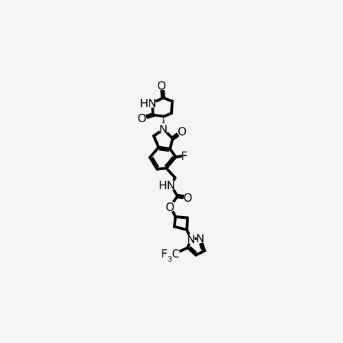 O=C1CC[C@H](N2Cc3ccc(CNC(=O)OC4CC(n5nccc5C(F)(F)F)C4)c(F)c3C2=O)C(=O)N1